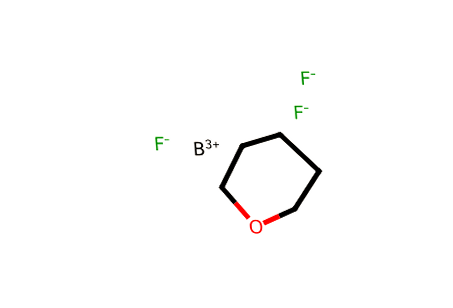 C1CCOCC1.[B+3].[F-].[F-].[F-]